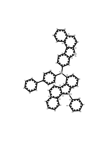 c1ccc(-c2ccc(N(c3ccc4c(c3)oc3ccc5ccccc5c34)c3cccc4c3c3ccc5ccccc5c3n4-c3ccccc3)cc2)cc1